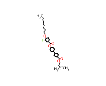 CCCCCCCCCCOc1ccc(C(=O)Oc2ccc(-c3ccc(C(=O)OCCC(C)CC)cc3)cc2)cc1F